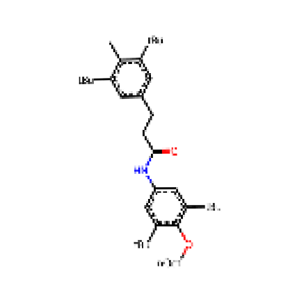 CCCCCCCCOc1c(C(C)(C)C)cc(NC(=O)CCc2cc(C(C)(C)C)c(C)c(C(C)(C)C)c2)cc1C(C)(C)C